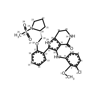 COc1c(Cl)cccc1Nc1c(-c2ccncc2OC[C@H]2CCCN2S(C)(=O)=O)[nH]c2c1C(=O)NCC2